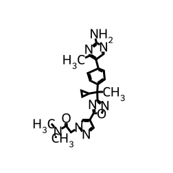 Cc1nc(N)ncc1-c1ccc(C(C)(c2noc(-c3cnn(CC(=O)N(C)C)c3)n2)C2CC2)cc1